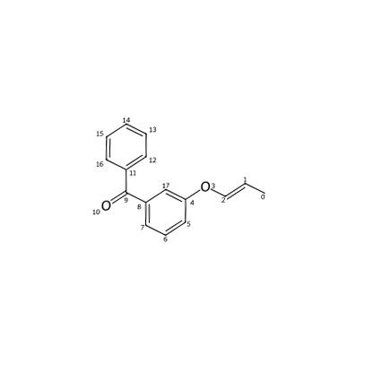 CC=COc1cccc(C(=O)c2ccccc2)c1